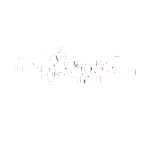 CC(C)C[C@@H](CO)NCC(O)C12CC[C@]3(C)[C@H](CC[C@@H]4[C@@]5(C)CC[C@H](OC(=O)CC(C)(C)C(=O)O)C(C)(C)[C@@H]5CC[C@]43C)C1=C(C(C)C)C(=O)C2